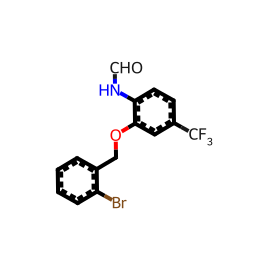 O=CNc1ccc(C(F)(F)F)cc1OCc1ccccc1Br